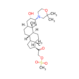 CC1(C)CN([C@H]2C[C@@]3(C)[C@@H](CC[C@@H]4[C@@H]3CC[C@]3(C)[C@@H](C(=O)COS(C)(=O)=O)CC[C@@H]43)C[C@@H]2O)CCO1